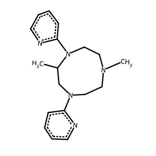 CC1CN(c2ccccn2)CCN(C)CCN1c1ccccn1